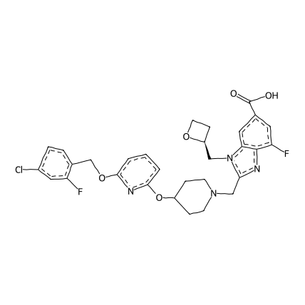 O=C(O)c1cc(F)c2nc(CN3CCC(Oc4cccc(OCc5ccc(Cl)cc5F)n4)CC3)n(C[C@@H]3CCO3)c2c1